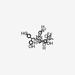 CCCN(C(=O)C(F)(F)F)[C@H]1C[C@@H](n2cnc3c(NCC(c4ccc(O)cc4)c4ccc(O)cc4)nc(N4CC[C@@H](N)C4)nc32)[C@H](O)[C@@H]1O